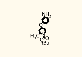 CC1CC(Oc2cccc(N)c2)CCN1C(=O)OC(C)(C)C